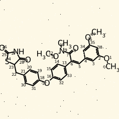 COc1cc(C=C(C(=O)N(C)OC)c2ccc(Oc3ccc(CC4SC(=O)NC4=O)cc3)cc2)cc(OC)c1